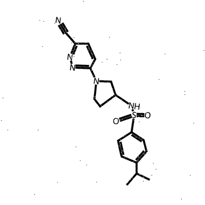 CC(C)c1ccc(S(=O)(=O)NC2CCN(c3ccc(C#N)nn3)C2)cc1